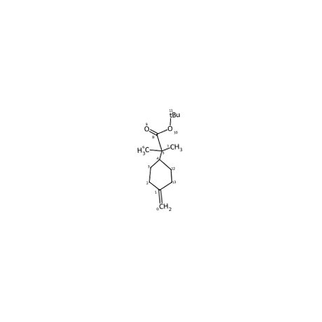 C=C1CCC(C(C)(C)C(=O)OC(C)(C)C)CC1